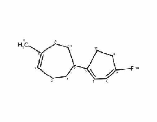 CC1=CCCC(C2=CC=C(F)CC2)CC1